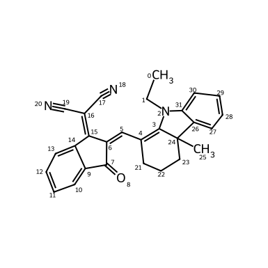 CCN1C2=C(/C=C3\C(=O)c4ccccc4C3=C(C#N)C#N)CCCC2(C)c2ccccc21